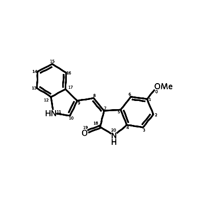 COc1ccc2c(c1)C(=Cc1c[nH]c3ccccc13)C(=O)N2